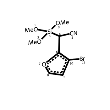 CO[Si](OC)(OC)C(C#N)c1occc1Br